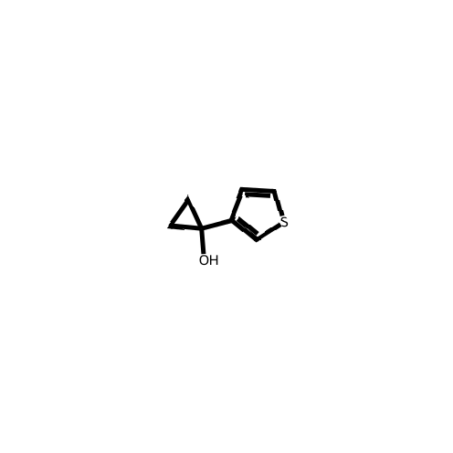 OC1(c2ccsc2)CC1